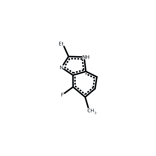 CCc1nc2c(F)c(C)ccc2[nH]1